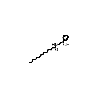 CCCCCCCCCCCCCC(=O)NCCC(O)c1ccccc1